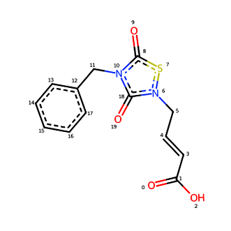 O=C(O)/C=C/Cn1sc(=O)n(Cc2ccccc2)c1=O